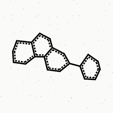 c1ccc(-c2ccc3c(ccc4ccccc43)c2)cc1